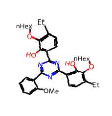 CCCCCCOc1c(CC)ccc(-c2nc(-c3ccccc3OC)nc(-c3ccc(CC)c(OCCCCCC)c3O)n2)c1O